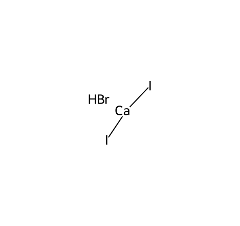 Br.[I][Ca][I]